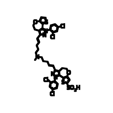 CN(CCC/C=C/c1nn(-c2ccc(Cl)cc2Cl)c2c1CCOc1ccsc1-2)CCC/C=C/c1nn(-c2ccc(Cl)cc2Cl)c2c1CCOc1cc(S(=O)(=O)O)sc1-2